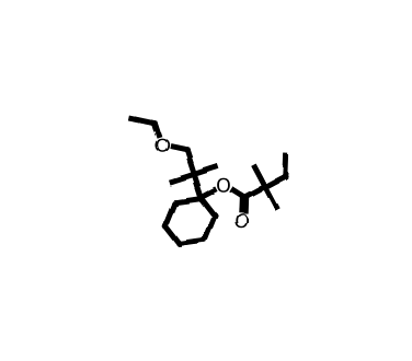 CCOCC(C)(C)C1(OC(=O)C(C)(C)CC)CCCCC1